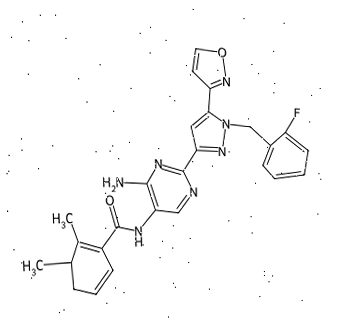 CC1=C(C(=O)Nc2cnc(-c3cc(-c4ccon4)n(Cc4ccccc4F)n3)nc2N)C=CCC1C